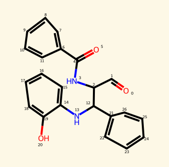 O=CC(NC(=O)c1ccccc1)C(Nc1ccccc1O)c1ccccc1